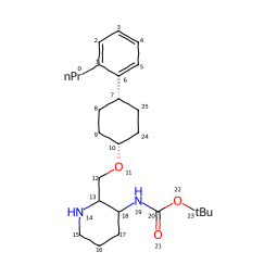 CCCc1ccccc1[C@H]1CC[C@@H](OCC2NCCCC2NC(=O)OC(C)(C)C)CC1